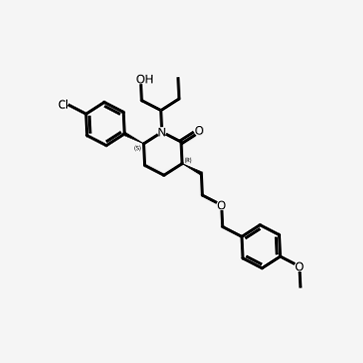 CCC(CO)N1C(=O)[C@@H](CCOCc2ccc(OC)cc2)CC[C@H]1c1ccc(Cl)cc1